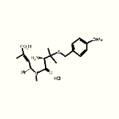 COc1ccc(CSC(C)(C)[C@H](N)C(=O)N(C)[C@@H](C=C(C)C(=O)O)C(C)C)cc1.Cl